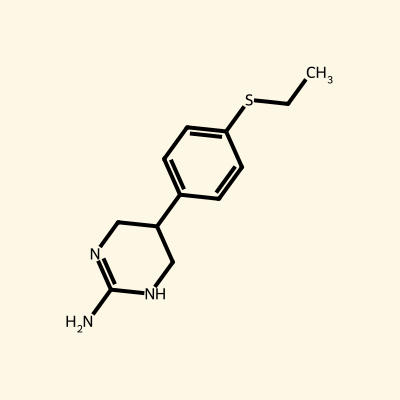 CCSc1ccc(C2CN=C(N)NC2)cc1